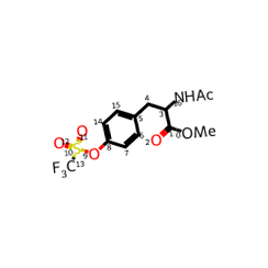 COC(=O)C(Cc1ccc(OS(=O)(=O)C(F)(F)F)cc1)NC(C)=O